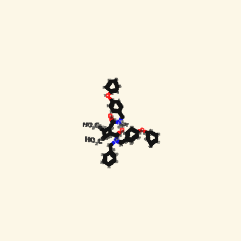 CCCN(Cc1ccc(Oc2ccccc2)cc1)C(=O)C1C(C(=O)O)C(C(=O)O)C1C(=O)N(Cc1ccccc1)Cc1ccc(Oc2ccccc2)cc1